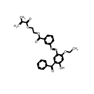 C=C(C)C(=O)OCCOC(=O)c1cccc(/N=N/c2cc(C(=O)c3ccccc3)c(O)cc2OCC)c1